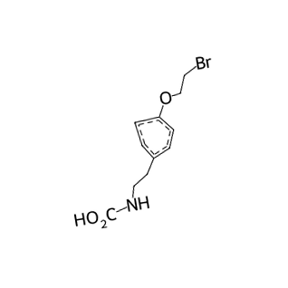 O=C(O)NCCc1ccc(OCCBr)cc1